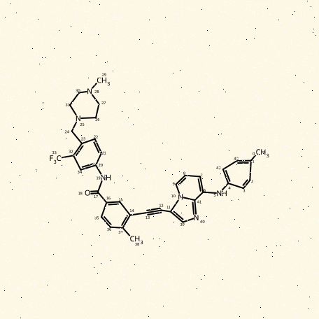 Cc1ccc(Nc2cccn3c(C#Cc4cc(C(=O)Nc5ccc(CN6CCN(C)CC6)c(C(F)(F)F)c5)ccc4C)cnc23)cc1